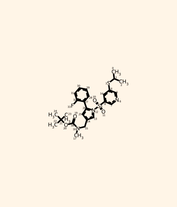 CC(C)Sc1cncc(S(=O)(=O)n2cc(CN(C)C(=O)OC(C)(C)C)cc2-c2ccccc2F)c1